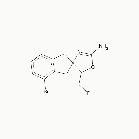 NC1=NC2(Cc3cccc(Br)c3C2)C(CF)O1